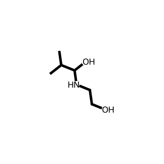 CC(C)C(O)NCCO